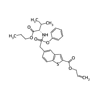 C=CCOC(=O)c1cc2cc(CP(=O)(N[C@H](C(=O)OCCC)C(C)C)Oc3ccccc3)ccc2s1